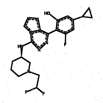 Oc1cc(C2CC2)cc(F)c1-c1nnc(N[C@@H]2CCCN(CC(F)F)C2)n2cccc12